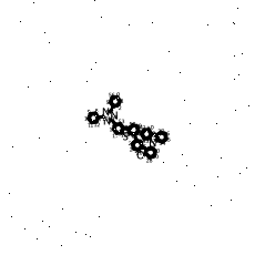 c1ccc(-c2nc(-c3ccccc3)nc(-c3ccc4sc5c(-c6ccc7oc8cccc(-n9c%10ccccc%10c%10ccccc%109)c8c7c6)cccc5c4c3)n2)cc1